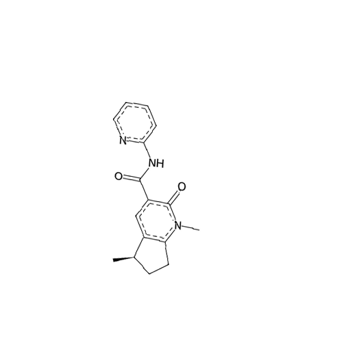 C[C@@H]1CCc2c1cc(C(=O)Nc1ccccn1)c(=O)n2C